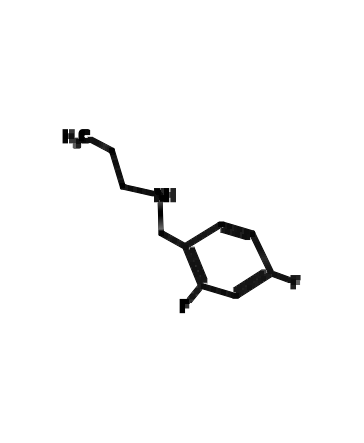 CCCNCc1ccc(F)cc1F